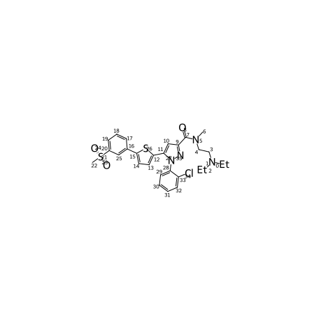 CCN(CC)CCN(C)C(=O)c1cc(-c2ccc(-c3cccc(S(C)(=O)=O)c3)s2)n(-c2ccccc2Cl)n1